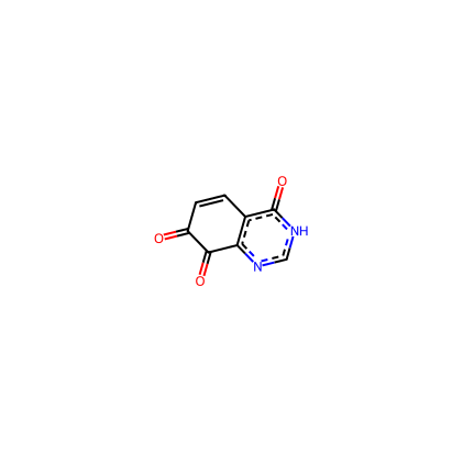 O=C1C=Cc2c(nc[nH]c2=O)C1=O